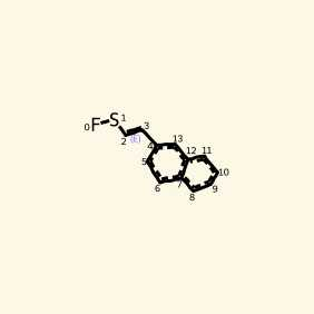 FS/C=C/c1ccc2ccccc2c1